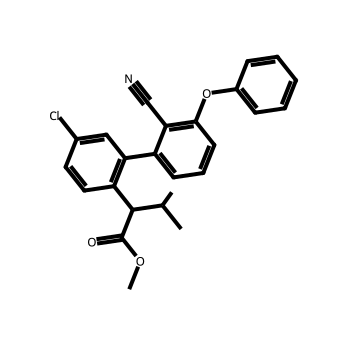 COC(=O)C(c1ccc(Cl)cc1-c1cccc(Oc2ccccc2)c1C#N)C(C)C